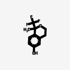 CC1(C(F)(F)F)OCCc2cc(O)ccc21